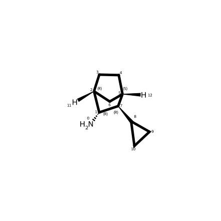 N[C@@H]1[C@@H]2CC[C@@H](C2)[C@H]1C1CC1